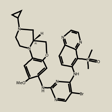 COc1cc2c(cc1Nc1ncc(Br)c(Nc3ccc4nccnc4c3P(C)(C)=O)n1)OC[C@H]1CN(C3CC3)CCN21